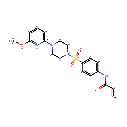 C=CC(=O)Nc1ccc(S(=O)(=O)N2CCN(c3cccc(OC)n3)CC2)cc1